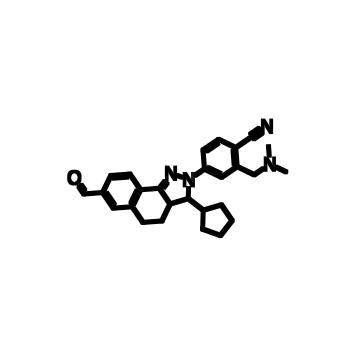 CN(C)Cc1cc(N2N=C3c4ccc(C=O)cc4CCC3C2C2CCCC2)ccc1C#N